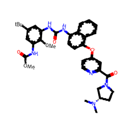 COC(=O)Nc1cc(C(C)(C)C)cc(NC(=O)Nc2ccc(Oc3ccnc(C(=O)N4CC[C@H](N(C)C)C4)c3)c3ccccc23)c1OC